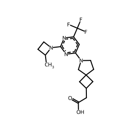 CC1CCN1c1nc(N2CCC3(CC(CC(=O)O)C3)C2)cc(C(F)(F)F)n1